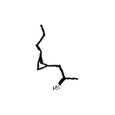 CCCC1CC1CC(C)=N